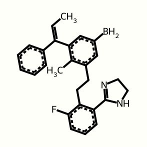 Bc1cc(CCc2c(F)cccc2C2=NCCN2)c(C)c(/C(=C\C)c2ccccc2)c1